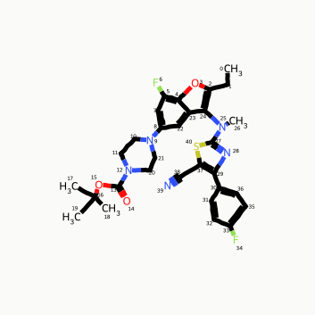 CCc1oc2c(F)cc(N3CCN(C(=O)OC(C)(C)C)CC3)cc2c1N(C)c1nc(-c2ccc(F)cc2)c(C#N)s1